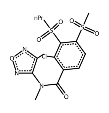 CCCS(=O)(=O)c1c(S(C)(=O)=O)ccc(C(=O)N(C)c2nonc2C)c1Cl